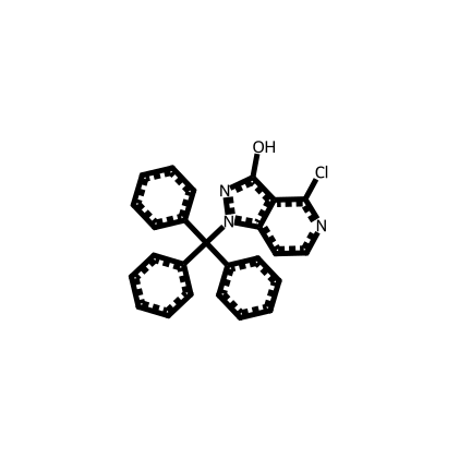 Oc1nn(C(c2ccccc2)(c2ccccc2)c2ccccc2)c2ccnc(Cl)c12